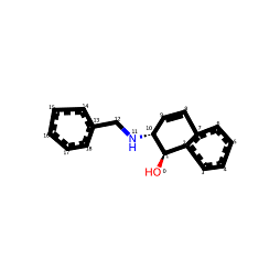 O[C@@H]1c2ccccc2C=C[C@H]1NCc1ccccc1